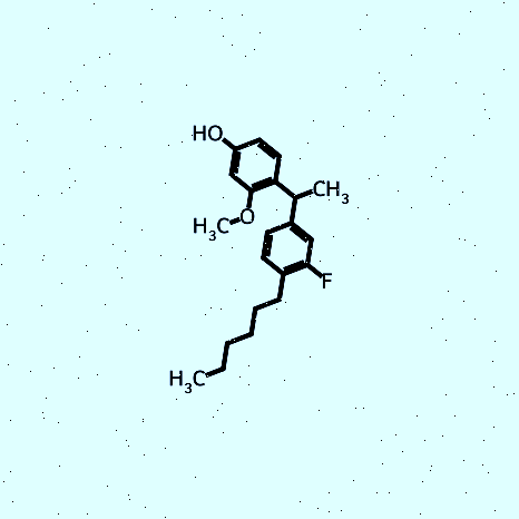 CCCCCCc1ccc(C(C)c2ccc(O)cc2OC)cc1F